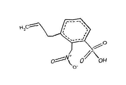 C=CCc1cccc(S(=O)(=O)O)c1[N+](=O)[O-]